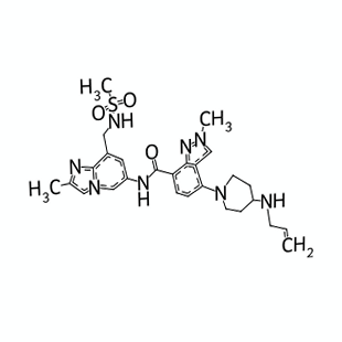 C=CCNC1CCN(c2ccc(C(=O)Nc3cc(CNS(C)(=O)=O)c4nc(C)cn4c3)c3nn(C)cc23)CC1